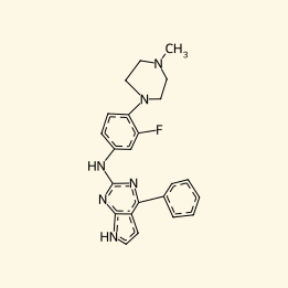 CN1CCN(c2ccc(Nc3nc(-c4ccccc4)c4cc[nH]c4n3)cc2F)CC1